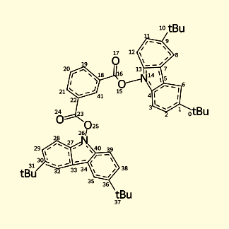 CC(C)(C)c1ccc2c(c1)c1cc(C(C)(C)C)ccc1n2OC(=O)c1cccc(C(=O)On2c3ccc(C(C)(C)C)cc3c3cc(C(C)(C)C)ccc32)c1